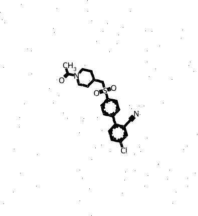 CC(=O)N1CCC(CS(=O)(=O)c2ccc(-c3ccc(Cl)cc3C#N)cc2)CC1